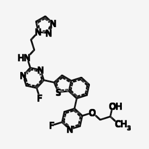 CC(O)COc1cnc(F)cc1-c1cccc2cc(-c3nc(NCCn4ccnn4)ncc3F)sc12